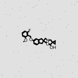 COc1cccc(F)c1COc1ccc2c(c1)CC1(C2)CN(CC2(C(=O)O)CC2)C1